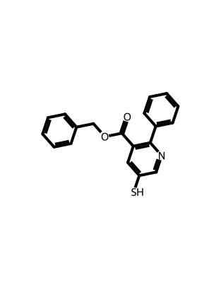 O=C(OCc1ccccc1)c1cc(S)cnc1-c1ccccc1